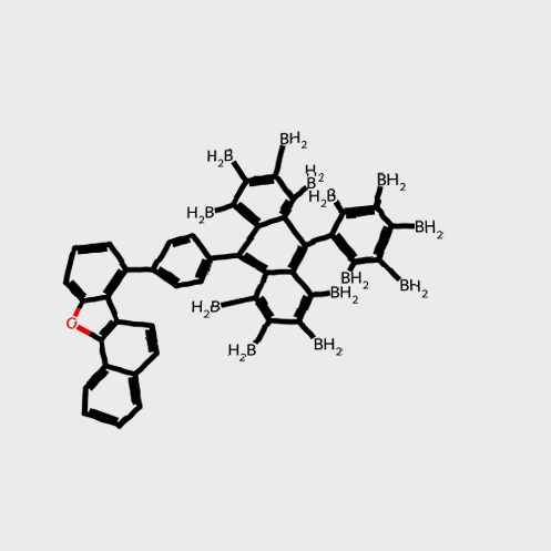 Bc1c(B)c(B)c(-c2c3c(B)c(B)c(B)c(B)c3c(-c3ccc(-c4cccc5oc6c7ccccc7ccc6c45)cc3)c3c(B)c(B)c(B)c(B)c23)c(B)c1B